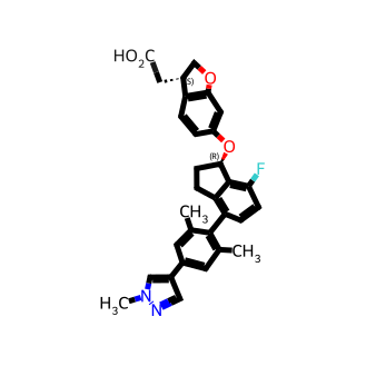 Cc1cc(-c2cnn(C)c2)cc(C)c1-c1ccc(F)c2c1CC[C@H]2Oc1ccc2c(c1)OC[C@H]2CC(=O)O